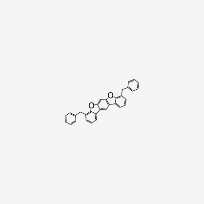 c1ccc(Cc2cccc3c2oc2cc4oc5c(Cc6ccccc6)cccc5c4cc23)cc1